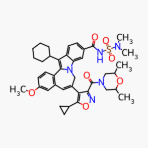 COc1ccc2c(c1)C=C(c1c(C(=O)N3CC(C)OC(C)C3)noc1C1CC1)Cn1c-2c(C2CCCCC2)c2ccc(C(=O)NS(=O)(=O)N(C)C)cc21